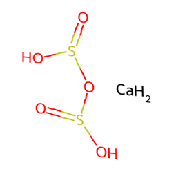 O=S(O)OS(=O)O.[CaH2]